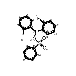 O=S(=O)(O[I+](c1ccccc1F)c1ccccc1F)c1ccccc1